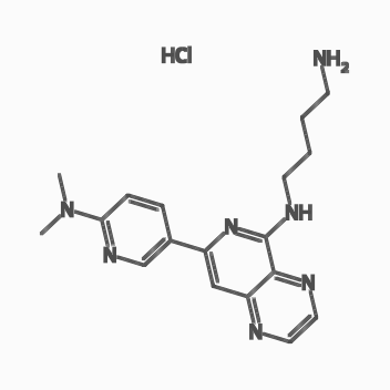 CN(C)c1ccc(-c2cc3nccnc3c(NCCCCN)n2)cn1.Cl